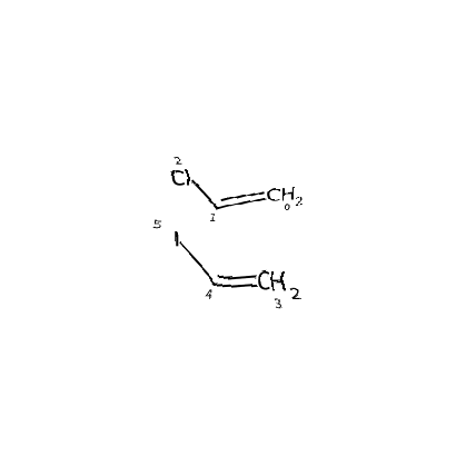 C=CCl.C=CI